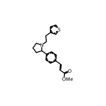 COC(=O)C=Cc1ccc(C2CCCN2CCc2ccsc2)cc1